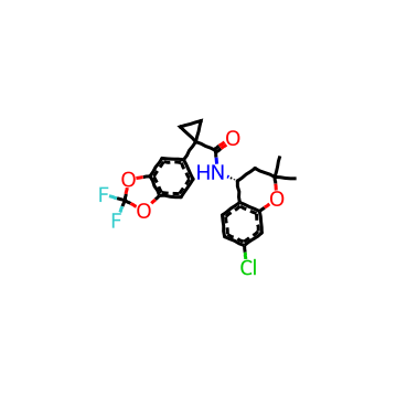 CC1(C)C[C@@H](NC(=O)C2(c3ccc4c(c3)OC(F)(F)O4)CC2)c2ccc(Cl)cc2O1